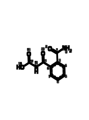 NC(=O)c1ccccc1C(=O)NC(=O)O